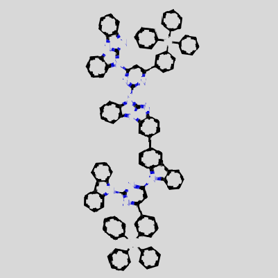 c1ccc([Si](c2ccccc2)(c2ccccc2)c2cccc(-c3cc(-n4c5ccccc5c5cc(-c6ccc7nc8n(-c9nc(-c%10cccc([Si](c%11ccccc%11)(c%11ccccc%11)c%11ccccc%11)c%10)cc(-n%10c%11ccccc%11n%11c%12ccccc%12nc%10%11)n9)c9ccccc9n8c7c6)ccc54)nc(-n4c5ccccc5c5ccccc54)n3)c2)cc1